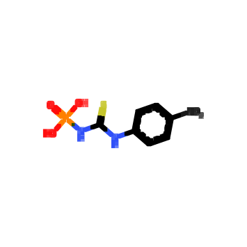 O=[N+]([O-])c1ccc(NC(=S)NP(=O)(O)O)cc1